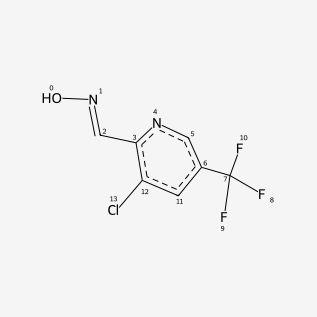 ON=Cc1ncc(C(F)(F)F)cc1Cl